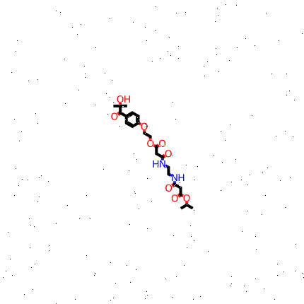 CC(C)OC(=O)CC(=O)NCCNC(=O)CC(=O)OCCOc1ccc(C(=O)C(C)(C)O)cc1